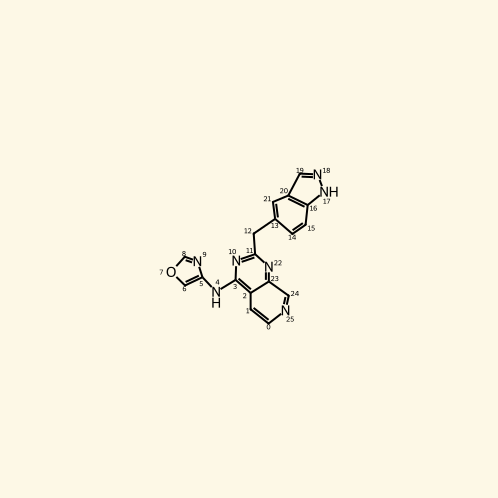 c1cc2c(Nc3cocn3)nc(Cc3ccc4[nH]ncc4c3)nc2cn1